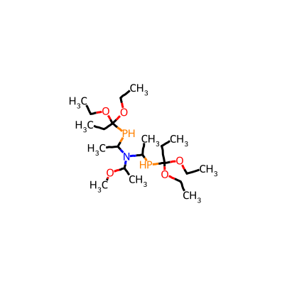 CCOC(CC)(OCC)PC(C)N(C(C)OC)C(C)PC(CC)(OCC)OCC